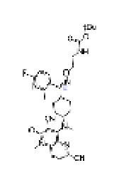 Cc1nc(F)ccc1/C(=N\OCCNC(=O)OC(C)(C)C)C1CCC(N(C)c2c(C#N)c(=O)n(C)c3ccc(C#N)nc23)CC1